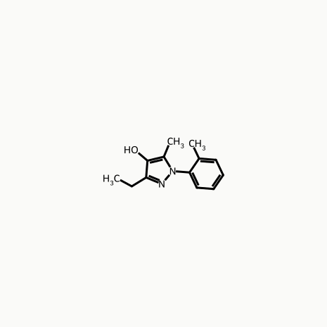 CCc1nn(-c2ccccc2C)c(C)c1O